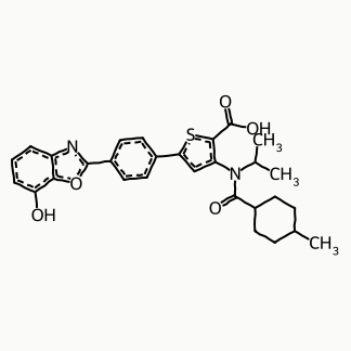 CC1CCC(C(=O)N(c2cc(-c3ccc(-c4nc5cccc(O)c5o4)cc3)sc2C(=O)O)C(C)C)CC1